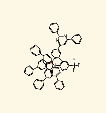 FC(F)(F)c1ccc(-n2c3ccc(-c4ccccc4)cc3c3cc(-c4ccccc4)ccc32)c(-c2cc(-c3cc(-c4ccccc4)nc(-c4ccccc4)n3)ccc2-n2c3ccc(-c4ccccc4)cc3c3cc(-c4ccccc4)ccc32)c1